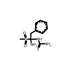 CS(=O)(=O)C(N)(Cc1ccccc1)NC(N)=S